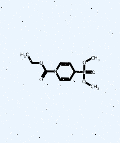 CCOC(=O)N1C=CC(P(=O)(OC)OC)C=C1